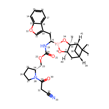 CC1(C)[C@@H]2C[C@H]3OB([C@H](Cc4coc5ccccc45)NC(=O)OC[C@H]4CCCN4C(=O)CC#N)O[C@@]3(C)[C@H]1C2